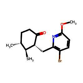 COc1ccc(Br)c(C[C@H]2C(=O)CC[C@@H](C)[C@@H]2[SiH3])n1